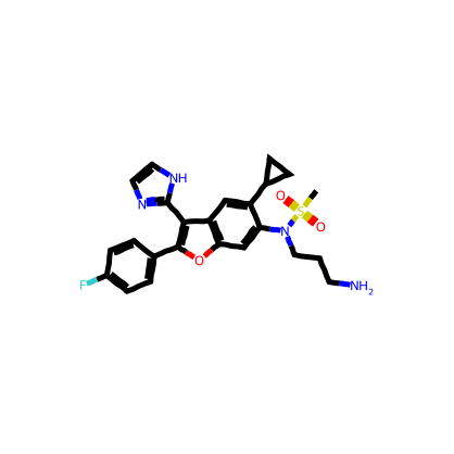 CS(=O)(=O)N(CCCN)c1cc2oc(-c3ccc(F)cc3)c(-c3ncc[nH]3)c2cc1C1CC1